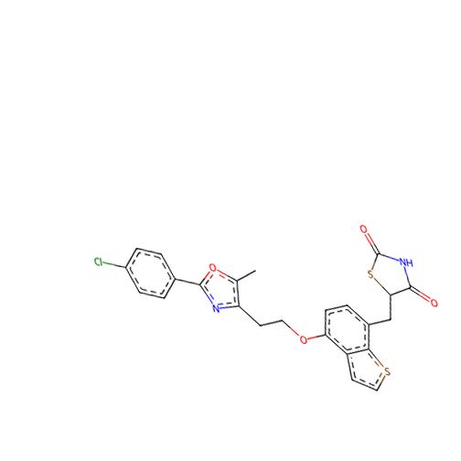 Cc1oc(-c2ccc(Cl)cc2)nc1CCOc1ccc(CC2SC(=O)NC2=O)c2sccc12